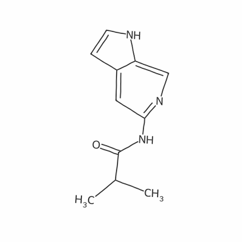 CC(C)C(=O)Nc1cc2cc[nH]c2cn1